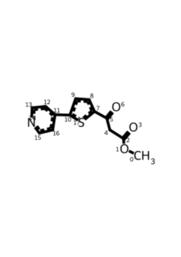 COC(=O)CC(=O)c1ccc(-c2ccncc2)s1